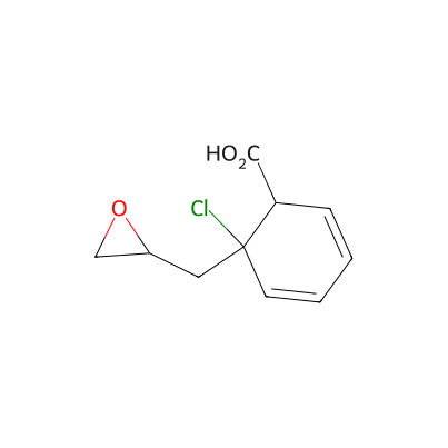 O=C(O)C1C=CC=CC1(Cl)CC1CO1